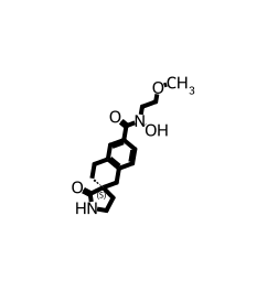 COCCN(O)C(=O)c1ccc2c(c1)CC[C@@]1(CCNC1=O)C2